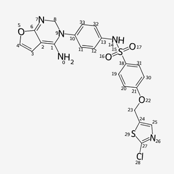 NC1=c2ccoc2=NCN1c1ccc(NS(=O)(=O)c2ccc(OCc3cnc(Cl)s3)cc2)cc1